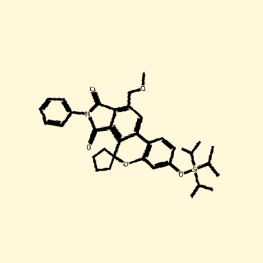 COCc1cc2c(c3c1C(=O)N(c1ccccc1)C3=O)C1(CCCC1)Oc1cc(O[Si](C(C)C)(C(C)C)C(C)C)ccc1-2